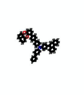 c1ccc(-c2ccc(N(c3ccc(-c4ccc(-c5cccc6c5Oc5cccc7cccc(c57)O6)cc4)cc3)c3ccc(-c4cc5ccccc5c5ccccc45)cc3)cc2)cc1